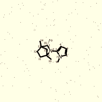 C[C@@H]1N(c2cccn2C)C2(C)CCC1(C)C2